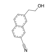 N#Cc1ccc2ccc(CCO)cc2c1